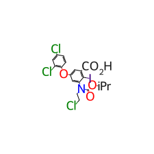 CC(C)OC(=O)N(CCCl)c1cc(Oc2ccc(Cl)cc2Cl)cc(C(=O)O)c1I